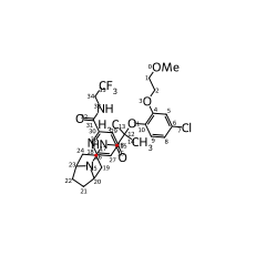 COCCOc1cc(Cl)ccc1OC(C)(C)C(=O)NC1CC2CCC(C1)N2c1cccc(C(=O)NCC(F)(F)F)n1